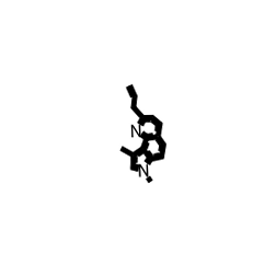 C=CCc1ccc2ccc3c(c(C)cn3C)c2n1